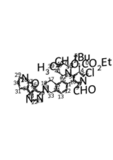 CCOC(=O)[C@@H](OC(C)(C)C)c1c(Cl)nc(C=O)c(-c2ccc3c(c2)CCN(c2ncnc4c2oc2ncccc24)C3)c1N1CCC(C)(C)CC1